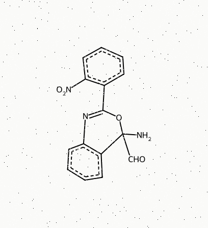 NC1(C=O)OC(c2ccccc2[N+](=O)[O-])=Nc2ccccc21